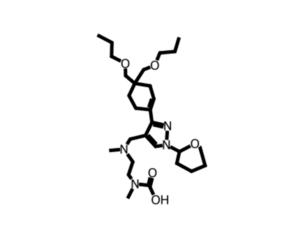 CCCOCC1(COCCC)CC=C(c2nn(C3CCCCO3)cc2CN(C)CCN(C)C(=O)O)CC1